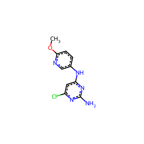 COc1ccc(Nc2cc(Cl)nc(N)n2)cn1